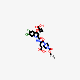 CCOC(=O)N1CCN(C(=O)C(CCC(=O)O)NC(=O)c2cc(OC3(C(=O)O)CCC3)c3cc(Cl)c(Cl)cc3n2)CC1